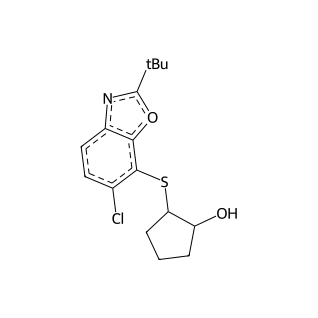 CC(C)(C)c1nc2ccc(Cl)c(SC3CCCC3O)c2o1